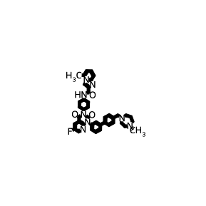 Cc1cccc2nc(C(=O)NC3CCC(n4c(=O)c5cc(F)cnc5n(-c5cccc(-c6ccc(CN7CCCN(C)CC7)cc6)c5)c4=O)CC3)cn12